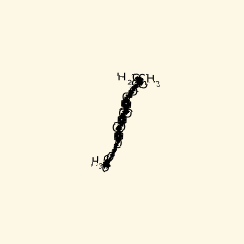 C=C(C)C(=O)OCCOCCOc1ccc(C(=O)Oc2ccc(OC(=O)c3ccc(OCCCCOCC4(C)COC4)cc3)cc2)cc1